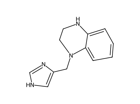 c1ccc2c(c1)NCCN2Cc1c[nH]cn1